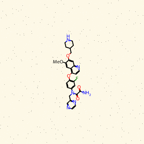 COc1cc2c(Oc3ccc(N(Cc4cnccn4)C(=O)C(N)=O)cc3F)ccnc2cc1OCC1CCNCC1